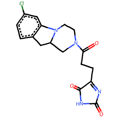 O=C1N=C(CCC(=O)N2CCN3c4cc(Cl)ccc4CC3C2)C(=O)N1